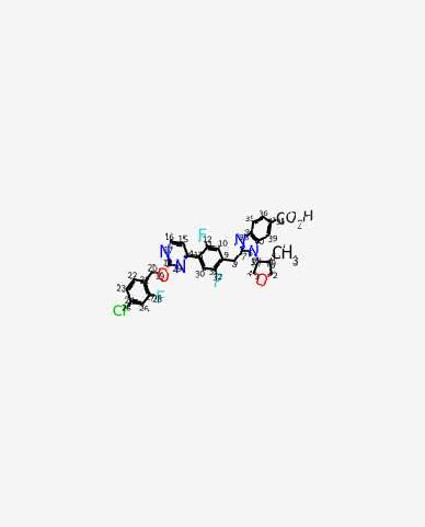 C[C@H]1COC[C@H]1n1c(Cc2cc(F)c(-c3ccnc(OCc4ccc(Cl)cc4F)n3)cc2F)nc2ccc(C(=O)O)cc21